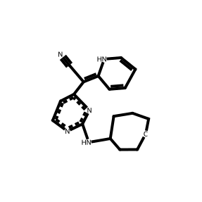 N#CC(=C1C=CC=CN1)c1ccnc(NC2CCCCCC2)n1